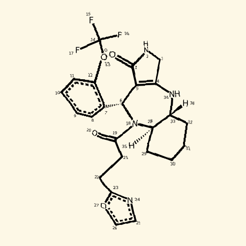 O=C1NCC2=C1[C@@H](c1ccccc1OC(F)(F)F)N(C(=O)CCc1ncco1)[C@@H]1CCCC[C@H]1N2